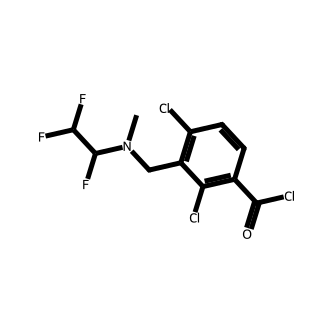 CN(Cc1c(Cl)ccc(C(=O)Cl)c1Cl)C(F)C(F)F